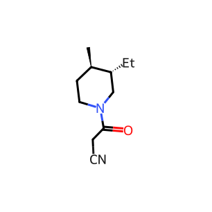 CC[C@@H]1CN(C(=O)CC#N)CC[C@H]1C